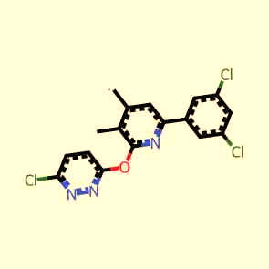 [CH2]c1cc(-c2cc(Cl)cc(Cl)c2)nc(Oc2ccc(Cl)nn2)c1C